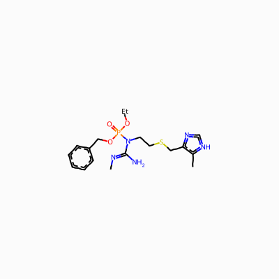 CCOP(=O)(OCc1ccccc1)N(CCSCc1nc[nH]c1C)C(N)=NC